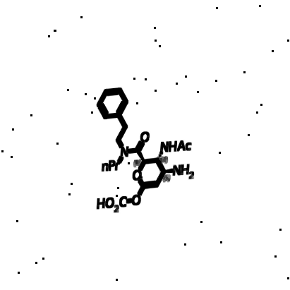 CCCN(CCc1ccccc1)C(=O)[C@@H]1OC(OC(=O)O)=C[C@H](N)[C@H]1NC(C)=O